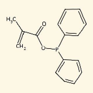 C=C(C)C(=O)OP(c1ccccc1)c1ccccc1